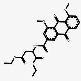 CCOC(=O)CC(NC(=O)c1cc(OC)c2c(c1)C(=O)c1cccc(OC)c1C2=O)C(=O)OCC